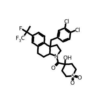 CC(F)(c1ccc2c(c1)CCC1N(C(=O)C3(O)CCS(=O)(=O)CC3)CCC21Cc1ccc(Cl)c(Cl)c1)C(F)(F)F